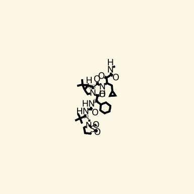 CNC(=O)C(=O)C(CC1CC1)NC(=O)[C@@H]1[C@@H]2C(CN1C(=O)[C@@H](NC(=O)N[C@H](CN1CCCS1(=O)=O)C(C)(C)C)C1CCCCC1)C2(C)C